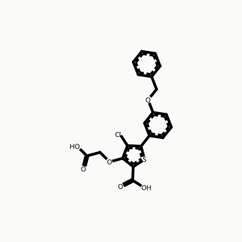 O=C(O)COc1c(C(=O)O)sc(-c2cccc(OCc3ccccc3)c2)c1Cl